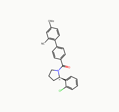 COc1ccc(-c2ccc(C(=O)N3CCC[C@@H]3c3ccccc3Cl)cc2)c(C#N)c1